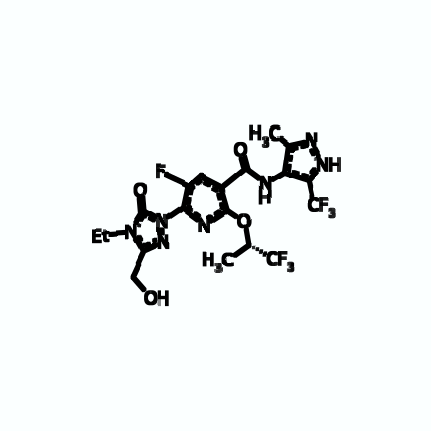 CCn1c(CO)nn(-c2nc(O[C@@H](C)C(F)(F)F)c(C(=O)Nc3c(C)n[nH]c3C(F)(F)F)cc2F)c1=O